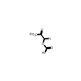 CCOC(=O)C(=O)C(CC)OC(=O)C(C)=O